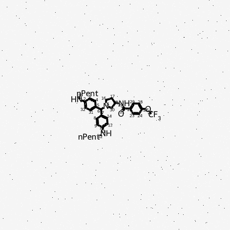 CCCCCNc1ccc(C(c2ccc(NCCCCC)cc2)N2CC[C@@H](NC(=O)c3ccc(OC(F)(F)F)cc3)C2)cc1